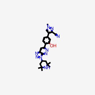 Cn1cc(-c2ccc(-c3cc4nnn(C5CC(C)(C)NC(C)(C)C5)c4nn3)c(O)c2)c(C#N)n1